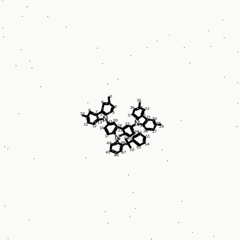 Cc1ccc2c(c1)c1cc(C)ccc1n2-c1ccc2c(c1)c1cc(-n3c4ccc(C)cc4c4cc(C)ccc43)ccc1n2-c1ccccc1C(C)(C)c1ccccc1